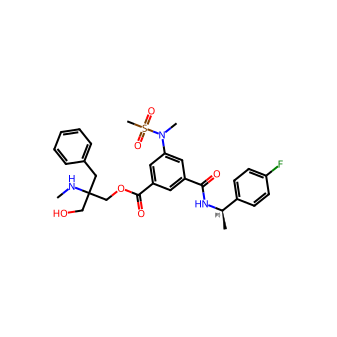 CNC(CO)(COC(=O)c1cc(C(=O)N[C@H](C)c2ccc(F)cc2)cc(N(C)S(C)(=O)=O)c1)Cc1ccccc1